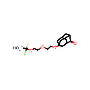 O=C1C2CC3CC1CC(OCCOCCOC(F)(F)C(=O)O)(C3)C2